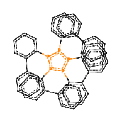 c1ccc(-c2ccccc2-p2p(-c3ccccc3-c3ccccc3)p(-c3ccccc3-c3ccccc3)p(-c3ccccc3-c3ccccc3)p2-c2ccccc2-c2ccccc2)cc1